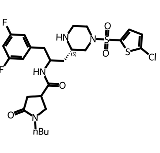 CCCCN1CC(C(=O)NC(Cc2cc(F)cc(F)c2)C[C@H]2CN(S(=O)(=O)c3ccc(Cl)s3)CCN2)CC1=O